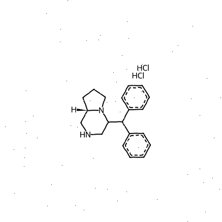 Cl.Cl.c1ccc(C(c2ccccc2)C2CNC[C@@H]3CCCN23)cc1